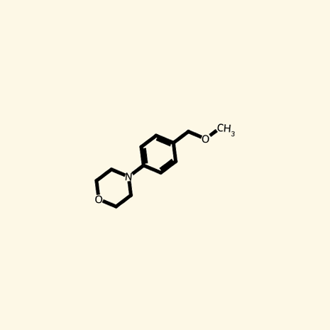 COCc1ccc(N2CCOCC2)cc1